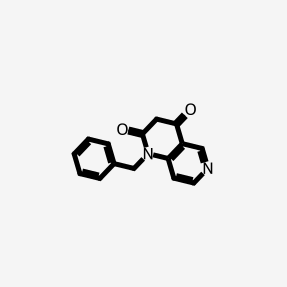 O=C1CC(=O)N(Cc2ccccc2)c2ccncc21